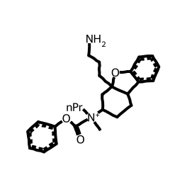 CCC[N+](C)(C(=O)Oc1ccccc1)C1CCC2c3ccccc3OC2(CCCN)C1